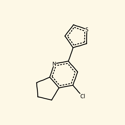 Clc1cc(-c2ccsc2)nc2c1CCC2